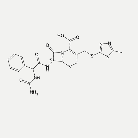 Cc1nnc(SCC2=C(C(=O)O)N3C(=O)[C@@H](NC(=O)C(NC(N)=O)c4ccccc4)C3SC2)s1